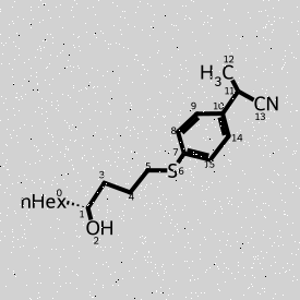 CCCCCC[C@@H](O)CCCSc1ccc(C(C)C#N)cc1